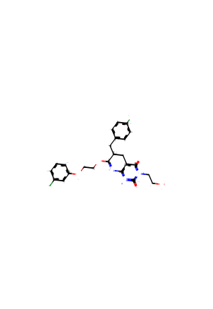 Cn1c2c(c(=O)n(CCO)c1=O)CC(Cc1ccc(Cl)cc1)C(OCCOc1cccc(Cl)c1)=N2